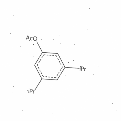 C[C](C)c1cc(OC(C)=O)cc(C(C)C)c1